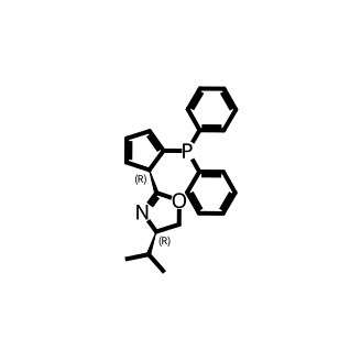 CC(C)[C@@H]1COC([C@H]2C=CC=C2P(c2ccccc2)c2ccccc2)=N1